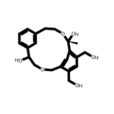 C[C@]1(O)OCCc2cccc(c2)C(O)COCc2cc1c(CO)cc2CO